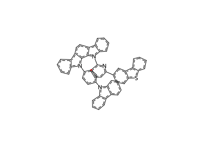 c1cc(-c2ccc3sc4ccccc4c3c2)nc(-n2c3ccccc3c3ccc4c5ccccc5n(-c5ccc(-n6c7ccccc7c7ccccc76)cc5)c4c32)c1